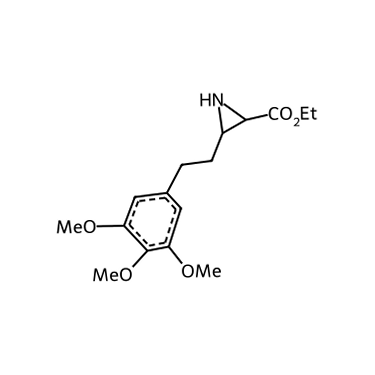 CCOC(=O)C1NC1CCc1cc(OC)c(OC)c(OC)c1